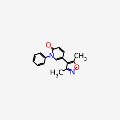 Cc1noc(C)c1-c1ccc(=O)n(-c2ccccc2)c1